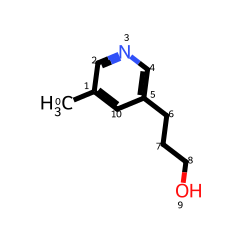 Cc1cncc(CCCO)c1